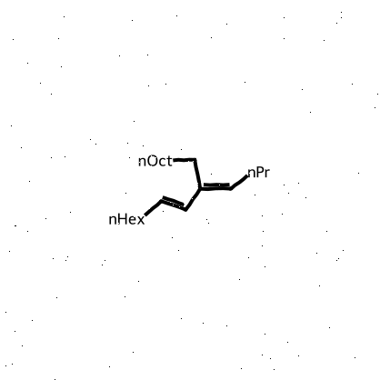 CCCC=C(C=CCCCCCC)CCCCCCCCC